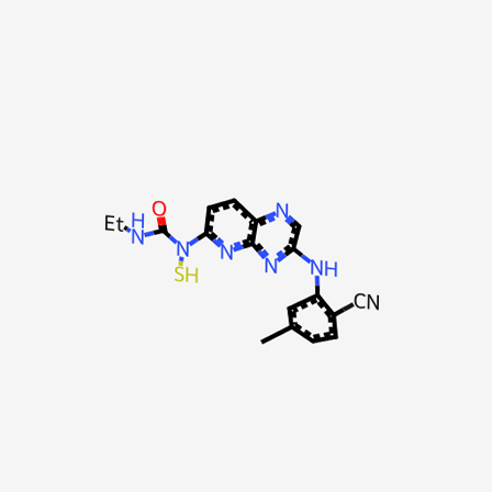 CCNC(=O)N(S)c1ccc2ncc(Nc3cc(C)ccc3C#N)nc2n1